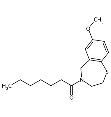 CCCCCCC(=O)N1CCSc2ccc(OC)cc2C1